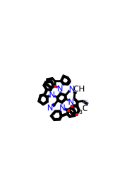 C#Cc1c(/C=C\C)c2ccccc2n1-c1c(C#N)c(N2c3c#cccc3C3C=CC=CC32)c(-n2c3ccccc3c3ccccc32)c(C#N)c1-n1c2ccccc2c2ccccc21